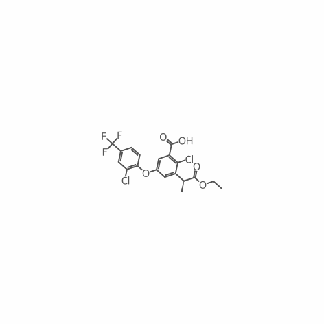 CCOC(=O)[C@@H](C)c1cc(Oc2ccc(C(F)(F)F)cc2Cl)cc(C(=O)O)c1Cl